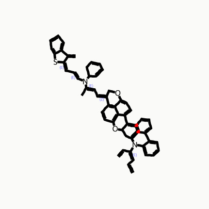 C=C/C=C(\C=C)N(C1=CC=C2c3ccc4c5c(ccc(c35)OC2C1)/C(=C/C=C(\C)N(/C=C/C=c1/sc2ccccc2c1=C)C1C=CC=CC1)CO4)c1ccccc1-c1ccccc1